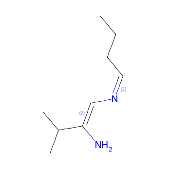 CCC/C=N\C=C(/N)C(C)C